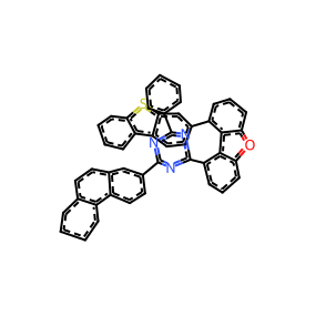 c1ccc(-c2nc(-c3ccc4c(ccc5ccccc54)c3)nc(-c3cccc4oc5cccc(-c6ccc7c(c6)sc6ccccc67)c5c34)n2)cc1